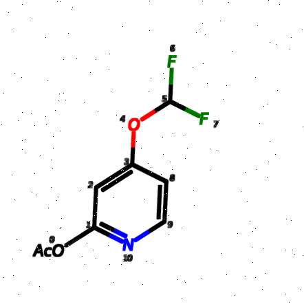 CC(=O)Oc1cc(OC(F)F)ccn1